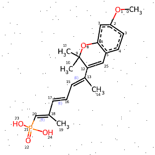 COc1ccc2c(c1)OC(C)(C)C(/C(C)=C/C=C/C(C)=C/P(=O)(O)O)=C2